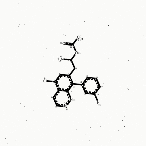 NC(Cc1cc(Cl)c2ccnnc2c1-c1cccc(F)c1)OC(=O)C(F)(F)F